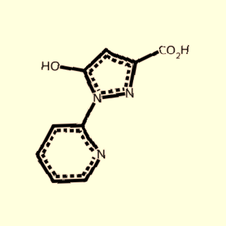 O=C(O)c1cc(O)n(-c2ccccn2)n1